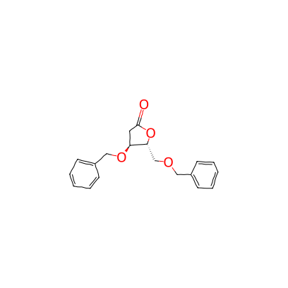 O=C1C[C@H](OCc2ccccc2)[C@@H](COCc2ccccc2)O1